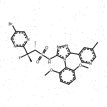 COc1cccc(OC)c1-n1c(NS(=O)(=O)[C@@H](C)[C@](C)(F)c2ncc(Br)cn2)nnc1-c1cncc(C)c1